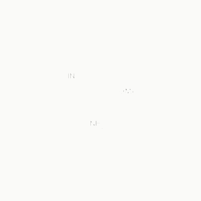 COc1c[nH]cc1N